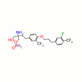 NC(CO)(CCc1ccc(OCCCc2ccc(C(F)(F)F)c(F)c2)c(C(F)(F)F)c1)CO[PH2]=O